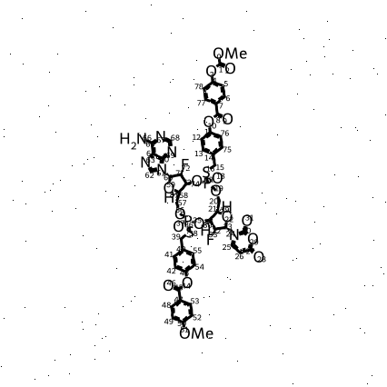 COC(=O)Oc1ccc(C(=O)Oc2ccc(CSP3(=O)OC[C@H]4O[C@@H](n5ccc(=O)oc5=O)[C@@H](F)[C@H]4OP(=O)(SCc4ccc(OC(=O)c5ccc(OC)cc5)cc4)OC[C@H]4O[C@@H](n5cnc6c(N)ncnc65)[C@@H](F)C4O3)cc2)cc1